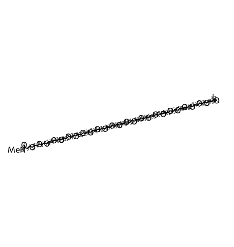 CNC(=O)CCOCCOCCOCCOCCOCCOCCOCCOCCOCCOCCOCCOCCOCCOCCOCCOCCOCCOCCOCCOCCOCCOCCOCCOCCOCCC(=O)I